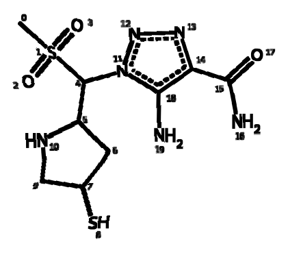 CS(=O)(=O)C(C1CC(S)CN1)n1nnc(C(N)=O)c1N